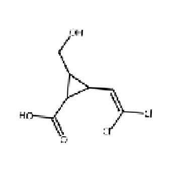 O=C(O)C1C(C=C(Cl)Cl)C1CO